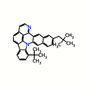 CC(C)(C)Cc1ccc2cc3c(cc2c1)c1nccc2ccc4c5cccc(C(C)(C)C)c5n3c4c21